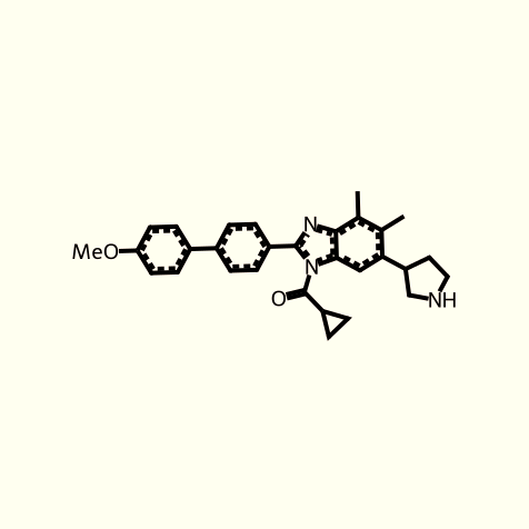 COc1ccc(-c2ccc(-c3nc4c(C)c(C)c(C5CCNC5)cc4n3C(=O)C3CC3)cc2)cc1